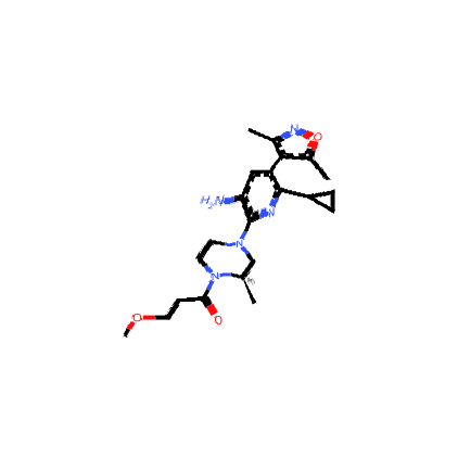 COCCC(=O)N1CCN(c2nc(C3CC3)c(-c3c(C)noc3C)cc2N)C[C@H]1C